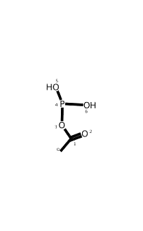 CC(=O)OP(O)O